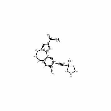 NC(=O)c1cn2c(n1)-c1cc(C#CC3(O)CCOC3)c(F)cc1OCC2